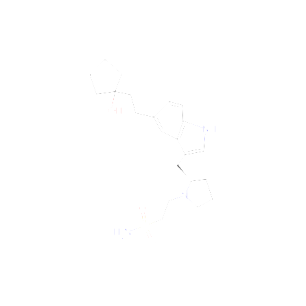 NS(=O)(=O)CCN1CCC[C@@H]1Cc1c[nH]c2ccc(CCC3(O)CCCC3)cc12